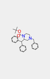 CC(C)(C)OC(=O)N1CCN(Cc2ccccc2)CC1C(c1ccccc1)c1ccccc1